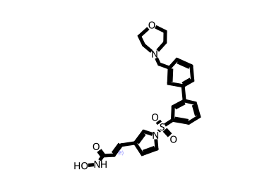 O=C(/C=C/c1ccn(S(=O)(=O)c2cccc(-c3cccc(CN4CCOCC4)c3)c2)c1)NO